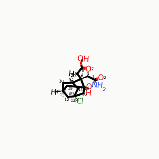 NC(=O)C[C@]1(CC(=O)O)[C@@H]2C[C@H]3C[C@@](Cl)(C2)C[C@]1(O)C3